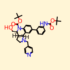 CC(C)(C)OC(=O)Nc1cccc(-c2ccc3c(c2)[C@H]2[C@H](CCN2Cc2ccncc2)[C@@H](CO)N3C(=O)OC(C)(C)C)c1